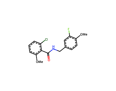 COc1ccc(CNC(=O)c2c(Cl)cccc2OC)cc1F